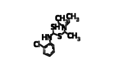 CCN(CC)C(C)SC(S)Nc1ccccc1Cl